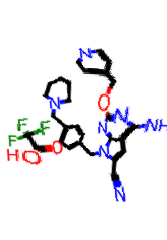 N#Cc1cc2c(N)nc(OCc3ccncc3)nc2n1Cc1ccc(CN2CCCCC2)cc1.O=C(O)C(F)(F)F